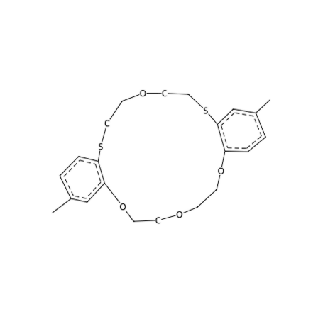 Cc1ccc2c(c1)OCCOCCOc1ccc(C)cc1SCCOCCS2